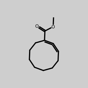 COC(=O)C1=C=CCCCCCCC1